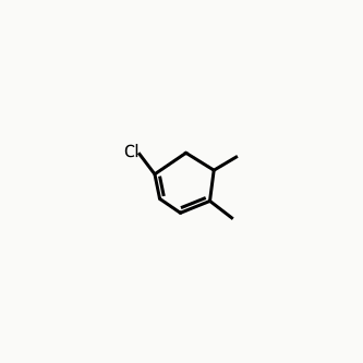 CC1=CC=C(Cl)CC1C